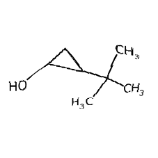 CC(C)(C)C1CC1O